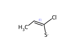 C/C=C(\[S])Cl